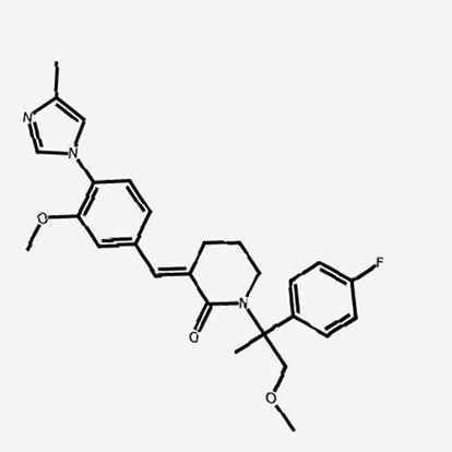 COCC(C)(c1ccc(F)cc1)N1CCC/C(=C\c2ccc(-n3cnc(C)c3)c(OC)c2)C1=O